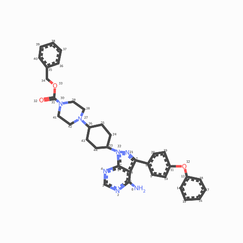 Nc1ncnc2c1c(-c1ccc(Oc3ccccc3)cc1)nn2C1CCC(N2CCN(C(=O)OCc3ccccc3)CC2)CC1